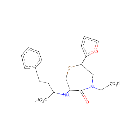 O=C(O)CN1CC(c2ccco2)SCC(NC(CCc2ccccc2)C(=O)O)C1=O